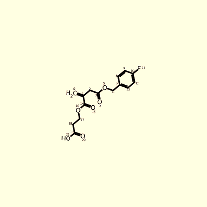 C=C(CC(=O)OCc1ccc(F)cc1)C(=O)OCCC(=O)O